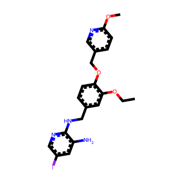 CCOc1cc(CNc2ncc(I)cc2N)ccc1OCc1ccc(OC)nc1